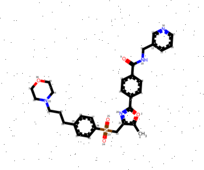 Cc1oc(-c2ccc(C(=O)NCc3cccnc3)cc2)nc1CS(=O)(=O)c1ccc(CCCN2CCOCC2)cc1